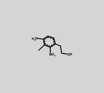 Cc1c(N)ccc(CCO)c1[N+](=O)[O-]